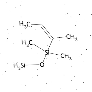 CC=C(C)[Si](C)(C)O[SiH3]